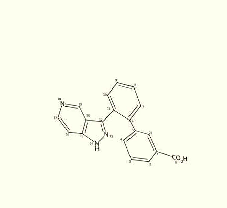 O=C(O)c1cccc(-c2ccccc2-c2n[nH]c3ccncc23)c1